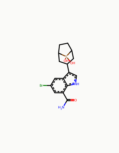 NC(=O)c1cc(Br)cc2c(C3CC4CCC(C3)S4(O)O)c[nH]c12